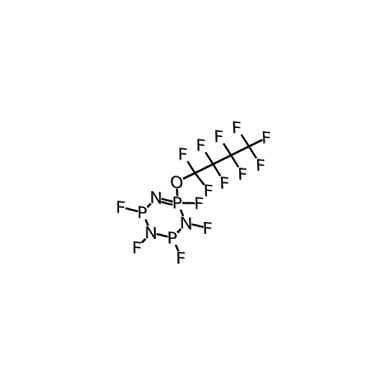 FN1P(F)N=P(F)(OC(F)(F)C(F)(F)C(F)(F)C(F)(F)F)N(F)P1F